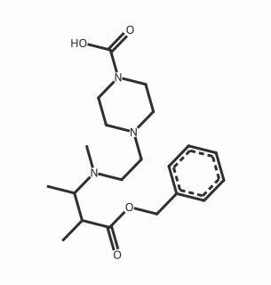 CC(C(=O)OCc1ccccc1)C(C)N(C)CCN1CCN(C(=O)O)CC1